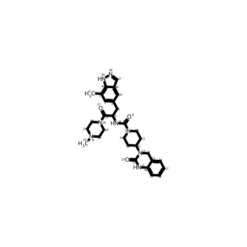 Cc1cc(CC(NC(=O)N2CCC(N3Cc4ccccc4NC3=O)CC2)C(=O)N2CCN(C)CC2)cc2cn[nH]c12